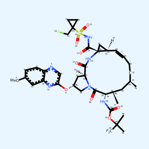 COc1ccc2ncc(O[C@@H]3C[C@H]4C(=O)N[C@]5(C(=O)NS(=O)(=O)C6(CF)CC6)C[C@H]5/C=C\CC[C@@H](C)C[C@@H](C)[C@H](NC(=O)OC(C)(C)C(F)(F)F)C(=O)N4C3)nc2c1